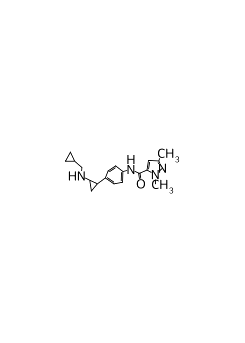 Cc1cc(C(=O)Nc2ccc(C3CC3NCC3CC3)cc2)n(C)n1